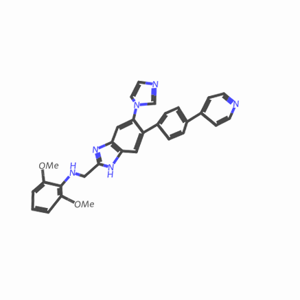 COc1cccc(OC)c1NCc1nc2cc(-n3ccnc3)c(-c3ccc(-c4ccncc4)cc3)cc2[nH]1